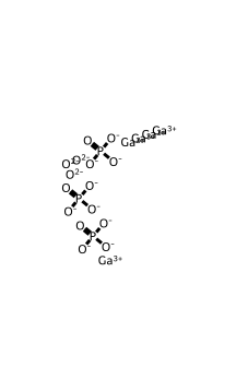 O=P([O-])([O-])[O-].O=P([O-])([O-])[O-].O=P([O-])([O-])[O-].[Ga+3].[Ga+3].[Ga+3].[Ga+3].[Ga+3].[O-2].[O-2].[O-2]